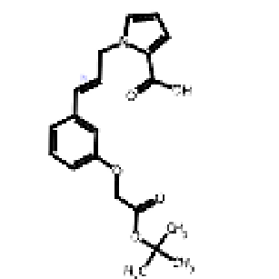 CC(C)(C)OC(=O)COc1cccc(/C=C/Cn2cccc2C(=O)O)c1